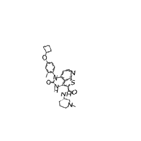 Cc1cc(OC2CCC2)ccc1N1C(=O)Nc2c(C(=O)NC3CCCN(C)C3)sc3nccc1c23